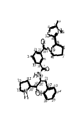 Cc1csc(C2CCCN2C(=O)c2cccc(C(=O)N[C@@H](Cc3ccccc3)[C@@H](O)C3CCCN3)c2)n1